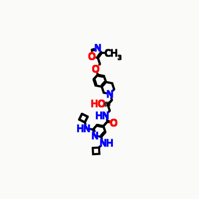 Cc1ncoc1COc1ccc2c(c1)CCN(C[C@@H](O)CNC(=O)c1cc(NC3CCC3)nc(NC3CCC3)c1)C2